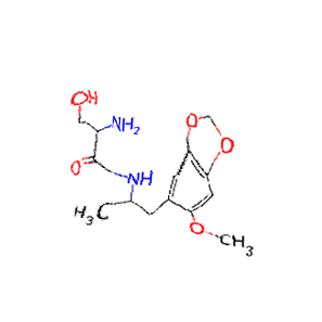 COc1cc2c(cc1CC(C)NC(=O)C(N)CO)OCO2